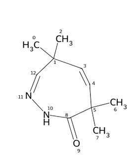 CC1(C)/C=C\C(C)(C)C(=O)N/N=C\1